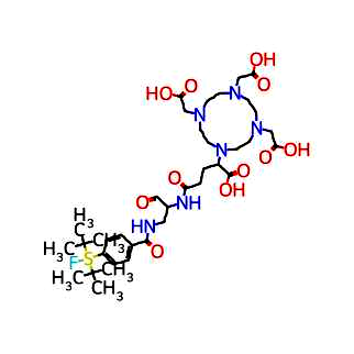 CC(C)(C)S(F)(c1ccc(C(=O)NCC(C=O)NC(=O)CCC(C(=O)O)N2CCN(CC(=O)O)CCN(CC(=O)O)CCN(CC(=O)O)CC2)cc1)C(C)(C)C